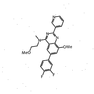 COCCN(C)c1nc(-c2cccnc2)nc2c(OC)cc(-c3ccc(F)c(F)c3)cc12